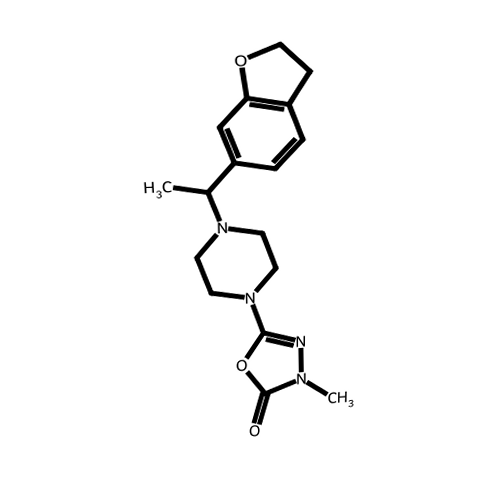 CC(c1ccc2c(c1)OCC2)N1CCN(c2nn(C)c(=O)o2)CC1